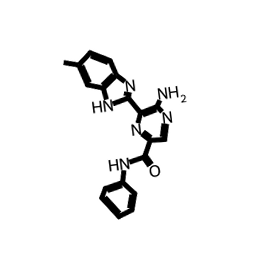 Cc1ccc2nc(-c3nc(C(=O)Nc4ccccc4)cnc3N)[nH]c2c1